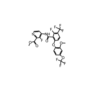 COC(=O)c1nccc(NC(=O)c2c(Oc3ccc(OC(F)(F)F)cc3OC)ccc(C(F)(F)F)c2F)c1F